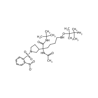 CC(=O)NC(CCCCBOC(C)(C)C(C)(C)P)(C(=O)NC(C)(C)C)C1CCN(S(=O)(=O)c2ccccc2[N+](=O)[O-])C1